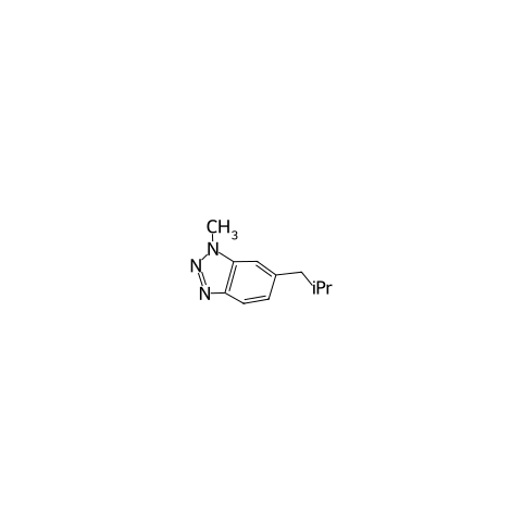 CC(C)Cc1ccc2nnn(C)c2c1